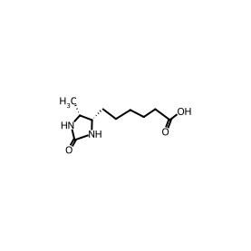 C[C@H]1NC(=O)N[C@H]1CCCCCC(=O)O